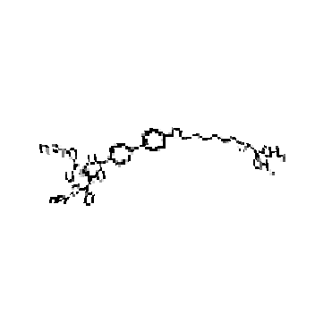 C=C(C)COCCCCCCOc1ccc(-c2ccc(C3O[C@@H](C(=O)OCCC)[C@H](C(=O)OCCC)O3)cc2)cc1